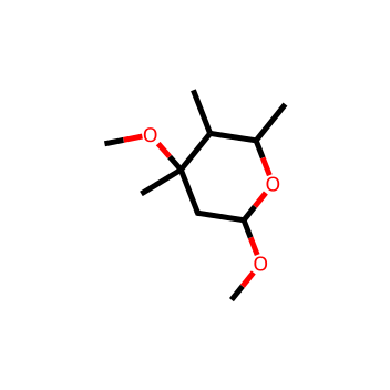 COC1CC(C)(OC)C(C)C(C)O1